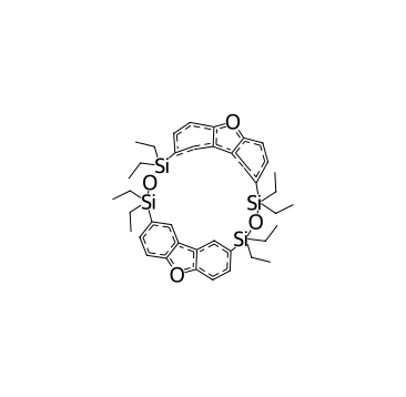 CC[Si]1(CC)O[Si](CC)(CC)c2ccc3oc4ccc(cc4c3c2)[Si](CC)(CC)O[Si](CC)(CC)c2ccc3oc4ccc1cc4c3c2